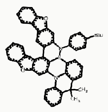 CC(C)(C)c1ccc(N2B3c4cccc5c4N(c4ccccc4C5(C)C)c4cc5oc6ccccc6c5c(c43)-c3cc4c(cc32)oc2ccccc24)cc1